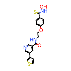 O=C(NCCOc1ccc(C(=S)NO)cc1)c1cncc(-c2ccsc2)c1